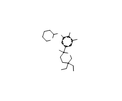 CCC1(CC)CCC(C)(c2cc(F)c(F)c(OC3CCCCO3)c2)OC1